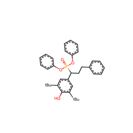 CC(C)(C)c1cc(C(CCc2ccccc2)P(=O)(Oc2ccccc2)Oc2ccccc2)cc(C(C)(C)C)c1O